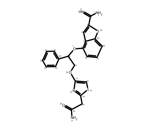 N=C(N)c1cc2c(OC(COc3csc(CC(N)=O)n3)c3ccccc3)cccc2s1